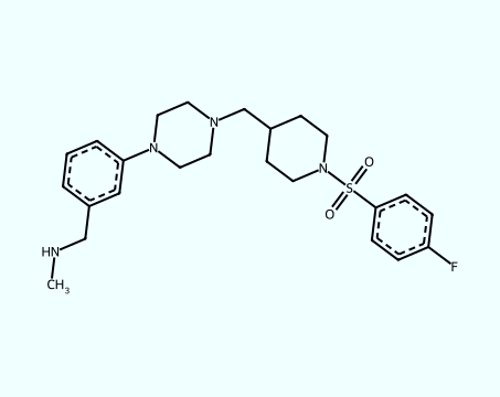 CNCc1cccc(N2CCN(CC3CCN(S(=O)(=O)c4ccc(F)cc4)CC3)CC2)c1